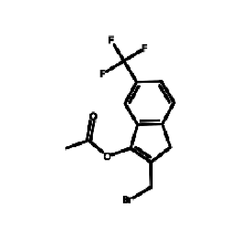 CC(=O)OC1=C(CBr)Cc2ccc(C(F)(F)F)cc21